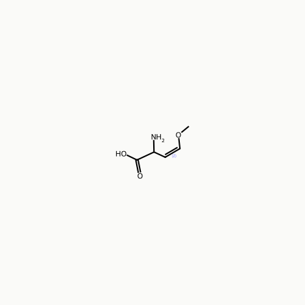 CO/C=C\C(N)C(=O)O